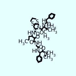 CCCC(NC(=O)[C@@H]1CC2(CN1C(=O)[C@@H](NC(=O)Cc1ccccc1)C(C)(C)C)SCCCS2)C(=O)C(=O)NCC(=O)NC(C(=O)N(C)C)c1ccccc1